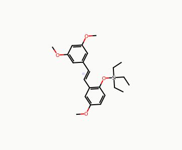 CC[Si](CC)(CC)Oc1ccc(OC)cc1/C=C/c1cc(OC)cc(OC)c1